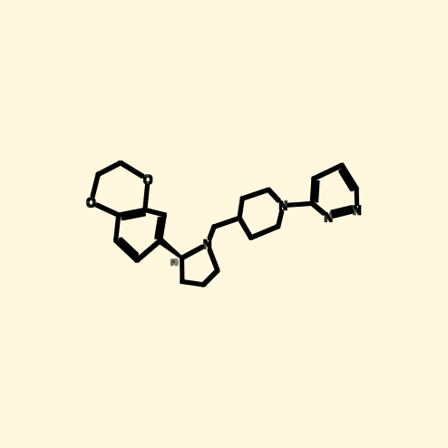 c1cnnc(N2CCC(CN3CCC[C@H]3c3ccc4c(c3)OCCO4)CC2)c1